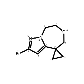 Brc1cc2n(n1)CCOCC21CC1